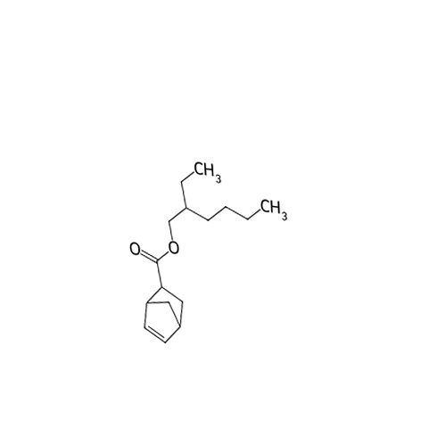 CCCCC(CC)COC(=O)C1CC2C=CC1C2